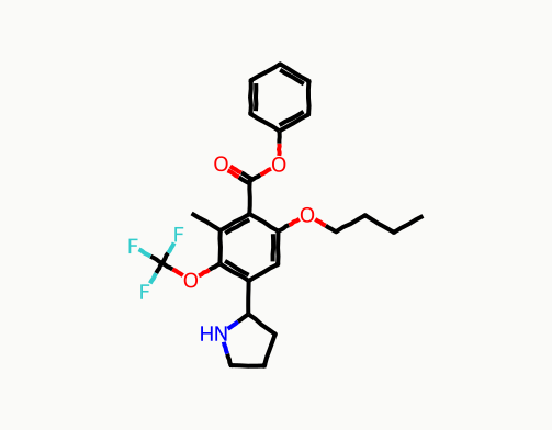 CCCCOc1cc(C2CCCN2)c(OC(F)(F)F)c(C)c1C(=O)Oc1ccccc1